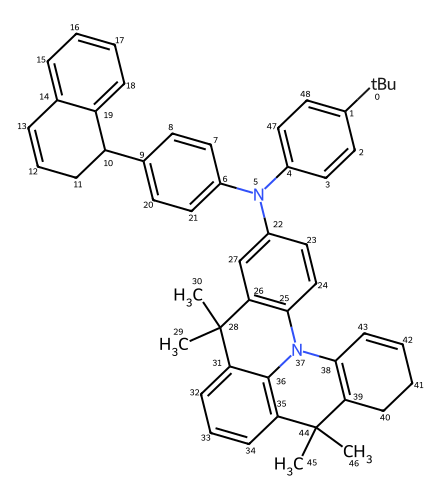 CC(C)(C)c1ccc(N(c2ccc(C3CC=Cc4ccccc43)cc2)c2ccc3c(c2)C(C)(C)c2cccc4c2N3C2=C(CCC=C2)C4(C)C)cc1